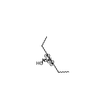 CCCCCCCC/C=C\CCCCCCCC(=O)OCCN(CCOC(=O)CCCCCCC/C=C\CCCCCCCC)C(=O)CSC[N+](C)(C)CCO